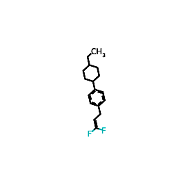 CCC1CCC(c2ccc(CC=C(F)F)cc2)CC1